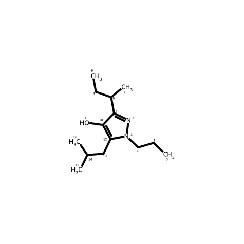 CCCn1nc(C(C)CC)c(O)c1CC(C)C